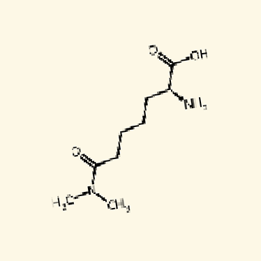 CN(C)C(=O)CCCC[C@H](N)C(=O)O